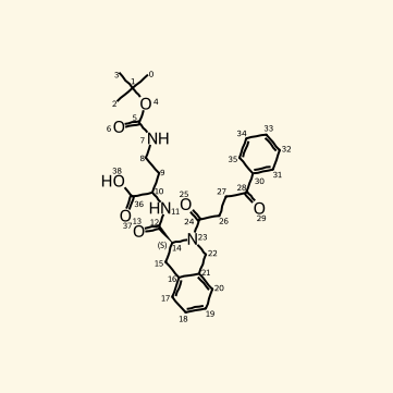 CC(C)(C)OC(=O)NCCC(NC(=O)[C@@H]1Cc2ccccc2CN1C(=O)CCC(=O)c1ccccc1)C(=O)O